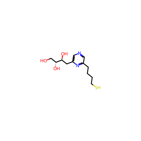 OC[C@@H](O)[C@@H](O)Cc1cncc(CCCCS)n1